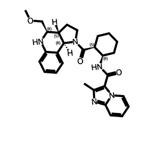 COC[C@@H]1Nc2ccccc2[C@H]2[C@H]1CCN2C(=O)[C@H]1CCCC[C@H]1NC(=O)c1c(C)nc2ccccn12